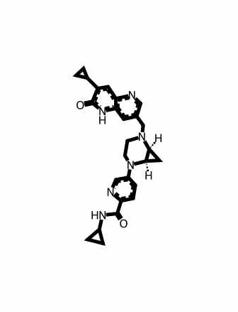 O=C(NC1CC1)c1ccc(N2CCN(Cc3cnc4cc(C5CC5)c(=O)[nH]c4c3)[C@H]3C[C@H]32)cn1